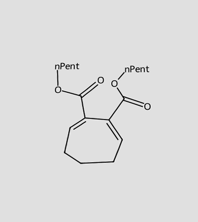 CCCCCOC(=O)C1=CCCCC=C1C(=O)OCCCCC